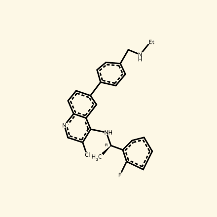 CCNCc1ccc(-c2ccc3ncc(Cl)c(N[C@H](C)c4ccccc4F)c3c2)cc1